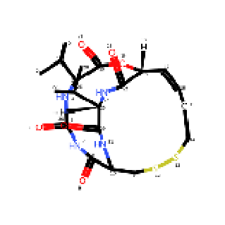 CC(C)C1NC(=O)NC(=O)C2CSSCC/C=C\[C@@H](OC1=O)C(=O)N[C@@H](C(C)C)C(=O)N2